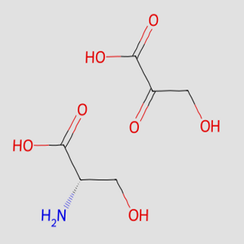 N[C@@H](CO)C(=O)O.O=C(O)C(=O)CO